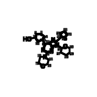 Oc1cccc(-c2nc(N3CCOCC3)nc3c2nc(-c2cccs2)n3C2CCCCO2)c1